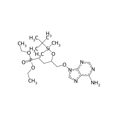 CCOP(=O)(CCC(COn1cnc2c(N)ncnc21)O[Si](C)(C)C(C)(C)C)OCC